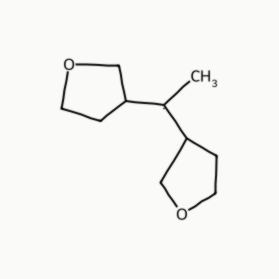 C[C](C1CCOC1)C1CCOC1